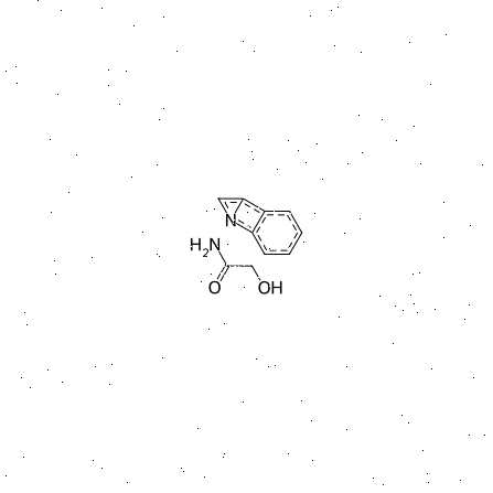 NC(=O)CO.c1ccc2c(c1)c1cn2-1